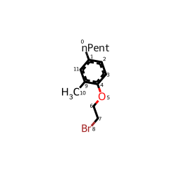 CCCCCc1ccc(OCCBr)c(C)c1